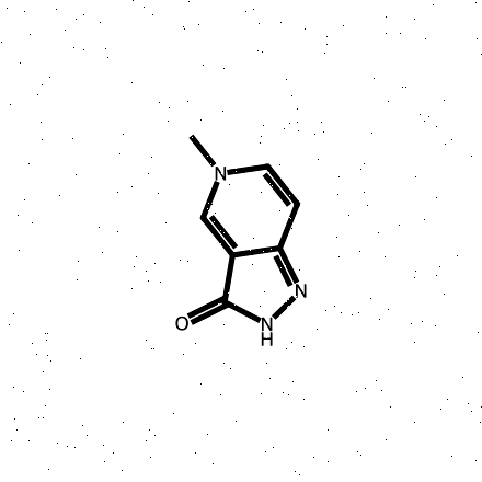 Cn1ccc2n[nH]c(=O)c-2c1